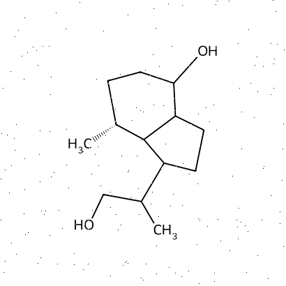 CC(CO)C1CCC2C(O)CC[C@@H](C)C12